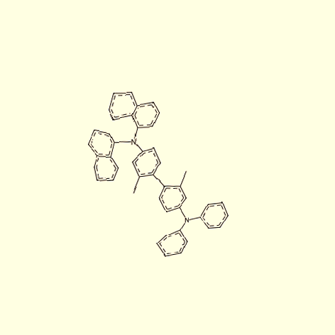 Cc1cc(N(c2ccccc2)c2ccccc2)ccc1-c1ccc(N(c2cccc3ccccc23)c2cccc3ccccc23)cc1C